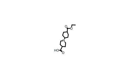 CCOC(=O)C1CCC(N2CCC(C(=O)O)CC2)CC1